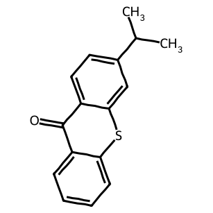 CC(C)c1ccc2c(=O)c3ccccc3sc2c1